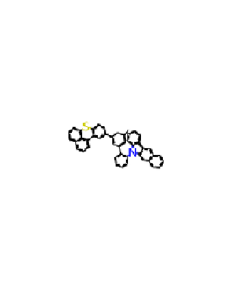 CC1C=C(c2ccccc2-n2c3ccccc3c3cc4ccccc4cc32)C=C(c2ccc3c(c2)-c2cccc4cccc(c24)S3)C1